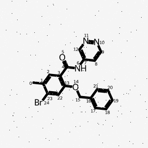 Cc1cc(C(=O)Nc2ccnnc2)c(OCc2ccccc2)cc1Br